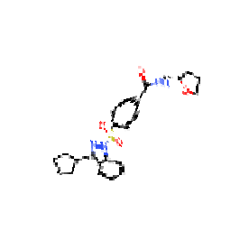 O=C(NC[C@@H]1CCCO1)c1ccc(S(=O)(=O)n2nc(C3CCCC3)c3ccccc32)cc1